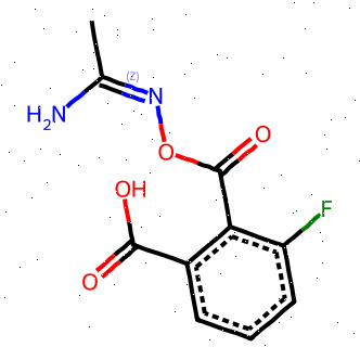 C/C(N)=N/OC(=O)c1c(F)cccc1C(=O)O